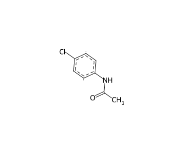 CC(=O)Nc1[c]cc(Cl)[c]c1